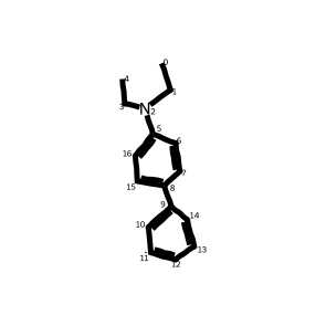 CCN(CC)c1ccc(-c2c[c]ccc2)cc1